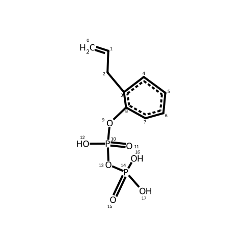 C=CCc1ccccc1OP(=O)(O)OP(=O)(O)O